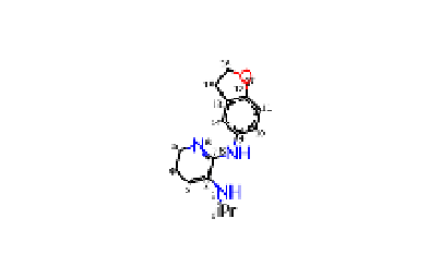 CC(C)NC1=CCCN=C1Nc1ccc2c(c1)CCO2